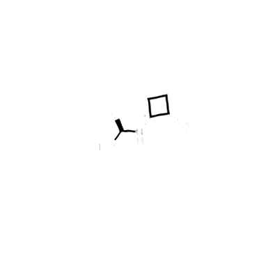 O=C(O)N[C@@H]1CC[C@@H]1O